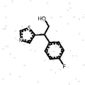 OCC(c1ccc(F)cc1)c1cncs1